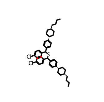 CCCC[C@H]1CC[C@H](c2ccc(C(SC(c3ccc(Cl)cc3)c3ccc([C@H]4CC[C@H](CCCC)CC4)cc3)c3ccc(Cl)cc3)cc2)CC1